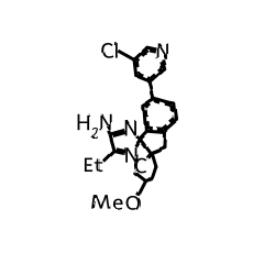 CCC1=NC2(N=C1N)c1cc(-c3cncc(Cl)c3)ccc1CC21CCC(OC)CC1